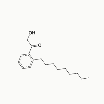 CCCCCCCCCc1ccccc1C(=O)CO